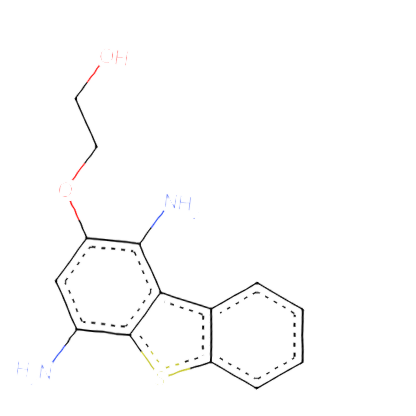 Nc1cc(OCCO)c(N)c2c1sc1ccccc12